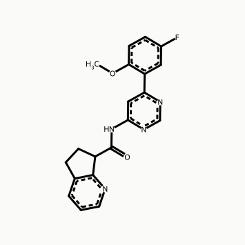 COc1ccc(F)cc1-c1cc(NC(=O)C2CCc3cccnc32)ncn1